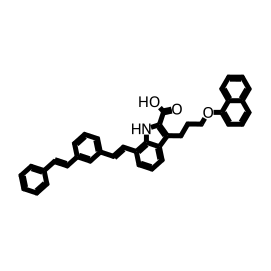 O=C(O)c1[nH]c2c(C=Cc3cccc(C=Cc4ccccc4)c3)cccc2c1CCCOc1cccc2ccccc12